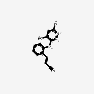 N#CC=Cc1ccccc1Oc1nnc(Cl)cc1O